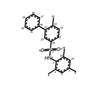 Cc1cc(C)c(NS(=O)(=O)c2ccc(C)c(-c3ccccc3)c2)c(C)c1